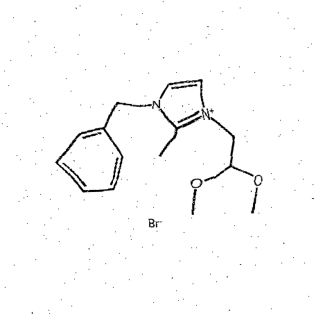 COC(C[n+]1ccn(Cc2ccccc2)c1C)OC.[Br-]